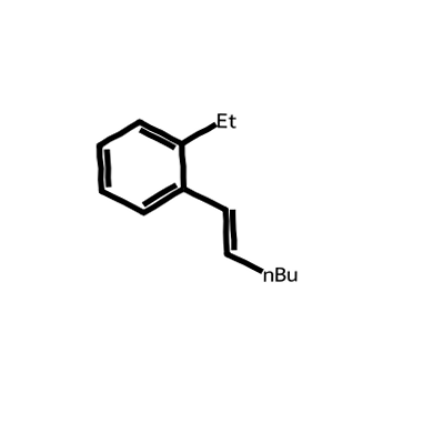 CCCCC=Cc1ccccc1CC